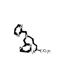 N[C@@H](CCCN(Cc1ncccn1)Cc1ncccn1)C(=O)O